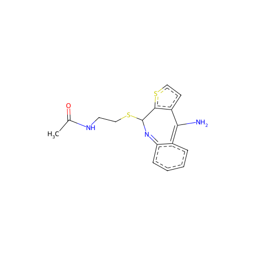 CC(=O)NCCSC1N=c2ccccc2=C(N)c2ccsc21